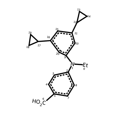 CCN(c1ccc(C(=O)O)cc1)c1cc(C2CC2)cc(C2CC2)c1